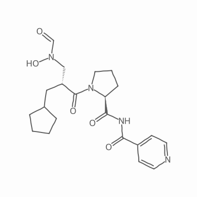 O=CN(O)C[C@@H](CC1CCCC1)C(=O)N1CCC[C@H]1C(=O)NC(=O)c1ccncc1